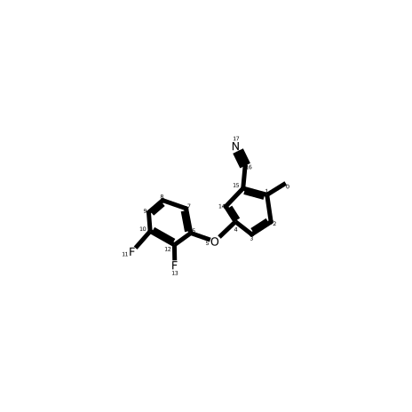 Cc1ccc(Oc2cccc(F)c2F)cc1C#N